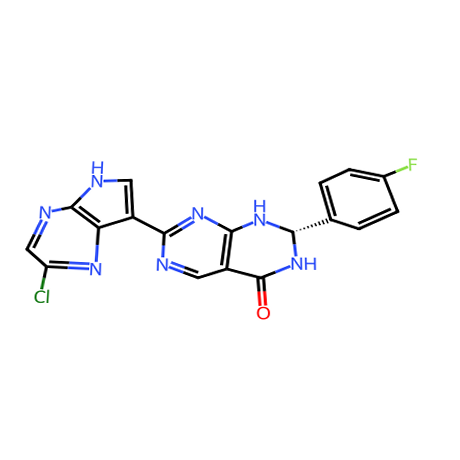 O=C1N[C@@H](c2ccc(F)cc2)Nc2nc(-c3c[nH]c4ncc(Cl)nc34)ncc21